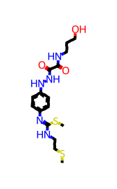 CSCCN/C(=N/c1ccc(NNC(=O)C(=O)NCCCO)cc1)SC